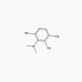 CN(C)c1c(C#N)[c]cc(C#N)c1C#N